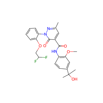 COc1cc(C(C)(C)O)ccc1NC(=O)c1cc(C)nn(-c2ccccc2OCC(F)F)c1=O